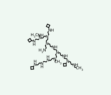 CCNCCN(CCNCCN(CCNCCN(CCN)CCN(CCNC1CCC1)CCN(CCNC1CCC1)NC)CCN(C)CCNCCNCCNC1CCC1)C1CCC1